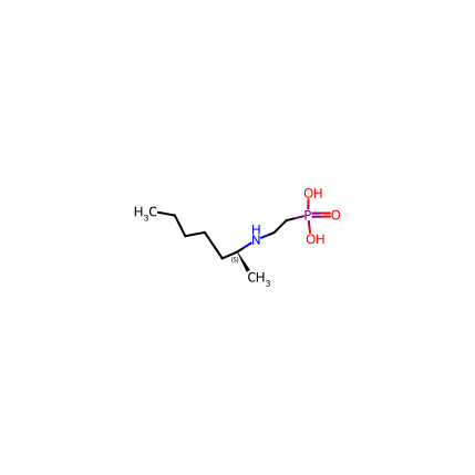 CCCCC[C@H](C)NCCP(=O)(O)O